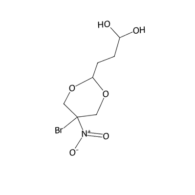 O=[N+]([O-])C1(Br)COC(CCC(O)O)OC1